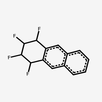 FC1c2cc3ccccc3cc2C(F)C(F)C1F